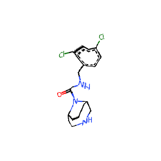 O=C(NCc1ccc(Cl)cc1Cl)N1C2CNCC1C2